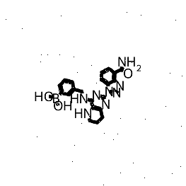 NC(=O)c1cccc2c1nnn2-c1nc2c(c(NCc3cccc(B(O)O)c3)n1)NCCC2